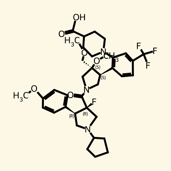 COC[C@@]1(OC)CN(C(=O)[C@]2(F)CN(C3CCCC3)C[C@H]2c2ccc(OC)cc2)C[C@@H]1c1ccc(C(F)(F)F)cc1N1CCC(C(=O)O)CC1